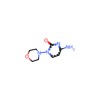 Nc1ccn(N2CCOCC2)c(=O)n1